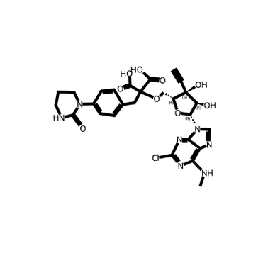 C#C[C@@]1(O)[C@@H](COC(Cc2ccc(N3CCCNC3=O)cc2)(C(=O)O)C(=O)O)O[C@@H](n2cnc3c(NC)nc(Cl)nc32)[C@@H]1O